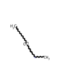 CCCCCC/C=C\CCCCCCCCOC(=O)CCCCCCCCCCCCCC